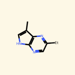 CCc1cnc2[nH]cc(C)c2n1